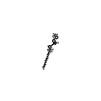 CNC(=O)c1ccccc1Sc1ccc2c(C#Cc3cncc(NC(=O)NCCOCCOCCOCCOCCOC)c3)n[nH]c2c1